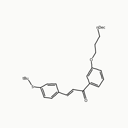 CCCCCCCCCCCCCOc1cccc(C(=O)C=Cc2ccc(SC(C)(C)C)cc2)c1